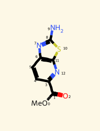 COC(=O)c1ccc2nc(N)sc2n1